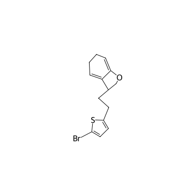 Brc1ccc(CCC2COC3=CCCC=C32)s1